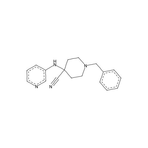 N#CC1(Nc2cccnc2)CCN(Cc2ccccc2)CC1